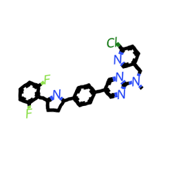 CN(Cc1ccc(Cl)nc1)c1ncc(-c2ccc(C3CCC(c4c(F)cccc4F)=N3)cc2)cn1